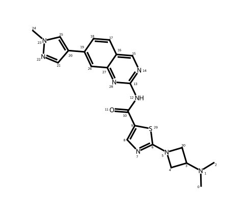 CN(C)C1CN(c2ncc(C(=O)Nc3ncc4ccc(-c5cnn(C)c5)cc4n3)s2)C1